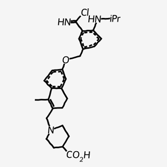 CC1=C(CN2CCC(C(=O)O)CC2)CCc2cc(OCc3ccc(NC(C)C)c(C(=N)Cl)c3)ccc21